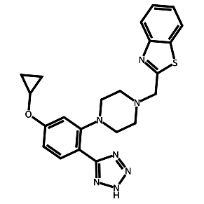 c1ccc2sc(CN3CCN(c4cc(OC5CC5)ccc4-c4nn[nH]n4)CC3)nc2c1